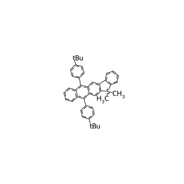 CC(C)(C)c1ccc(-c2c3ccccc3c(-c3ccc(C(C)(C)C)cc3)c3cc4c(cc23)-c2ccccc2S4(C)C)cc1